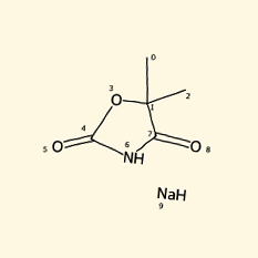 CC1(C)OC(=O)NC1=O.[NaH]